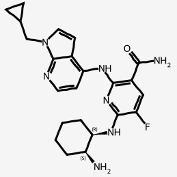 NC(=O)c1cc(F)c(N[C@@H]2CCCC[C@@H]2N)nc1Nc1ccnc2c1ccn2CC1CC1